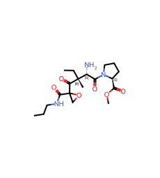 CCCNC(=O)C1(C(=O)[C@](C)(CC)[C@H](N)C(=O)N2CCC[C@H]2C(=O)OC)CO1